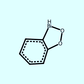 c1cc[c]2c(c1)O[O][BiH]2